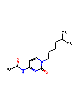 CC(=O)Nc1ccn(CCCCC(C)C)c(=O)n1